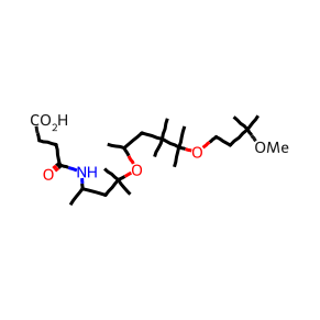 COC(C)(C)CCOC(C)(C)C(C)(C)CC(C)OC(C)(C)CC(C)NC(=O)CCC(=O)O